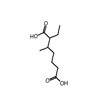 CCC(C(=O)O)C(C)CCCC(=O)O